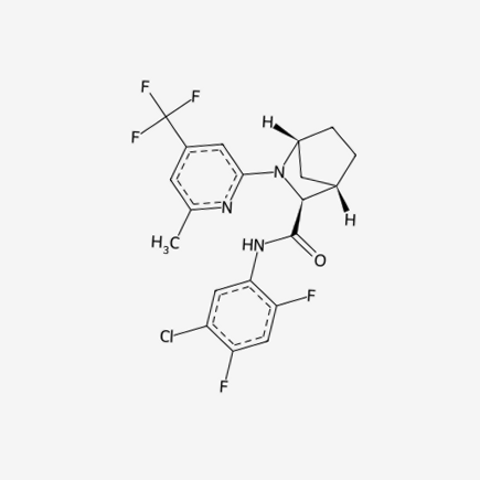 Cc1cc(C(F)(F)F)cc(N2[C@@H]3CC[C@@H](C3)[C@H]2C(=O)Nc2cc(Cl)c(F)cc2F)n1